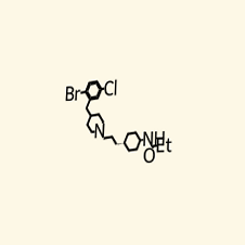 CCC(=O)N[C@H]1CC[C@H](CCCN2CCC(Cc3cc(Cl)ccc3Br)CC2)CC1